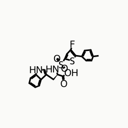 Cc1ccc(-c2sc(S(=O)(=O)N[C@H](Cc3c[nH]c4ccccc34)C(=O)O)cc2F)cc1